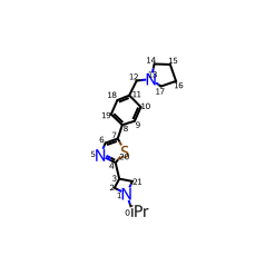 CC(C)N1CC(c2ncc(-c3ccc(CN4CCCC4)cc3)s2)C1